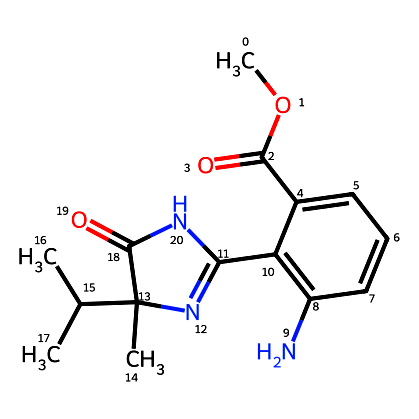 COC(=O)c1cccc(N)c1C1=NC(C)(C(C)C)C(=O)N1